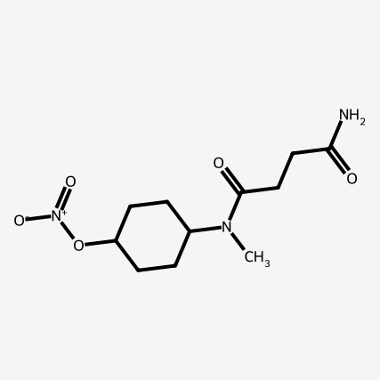 CN(C(=O)CCC(N)=O)C1CCC(O[N+](=O)[O-])CC1